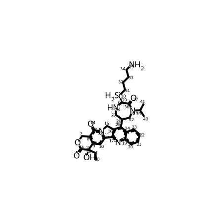 CC[C@@]1(O)C(=O)OCc2c1cc1n(c2=O)Cc2c-1nc1ccccc1c2C1CN[C@@H]([SiH2]CCCCN)C(=O)N(C(C)C)C1